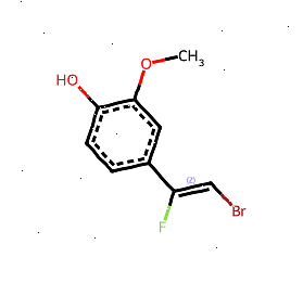 COc1cc(/C(F)=C/Br)ccc1O